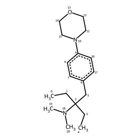 CCC(CC)(Cc1ccc(N2CCOCC2)cc1)N(C)C